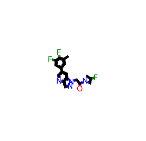 Cc1cc(-c2cnc3cnn(CC(=O)N4CC(F)C4)c3c2)cc(F)c1F